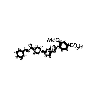 COc1cc(C(=O)O)ccc1NSc1csc(N2CCN(C(=O)OCC3CCCCC3)CC2)n1